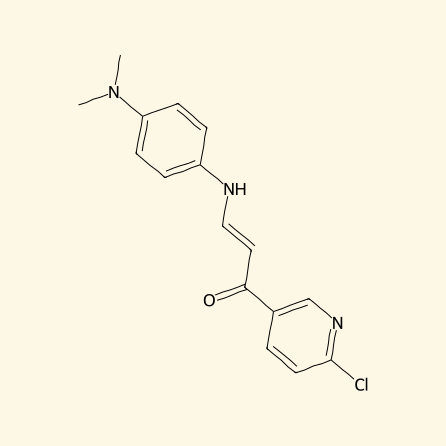 CN(C)c1ccc(NC=CC(=O)c2ccc(Cl)nc2)cc1